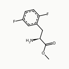 COC(=O)[C@@H](N)Cc1cc(F)ccc1F